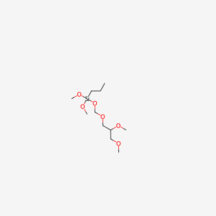 CCC[Si](OC)(OC)OCOCC(COC)OC